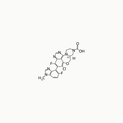 Cn1cnc2c(-c3c(Cl)c4c5c(ncnc5c3F)N3CCN(C(=O)O)C[C@H]3CO4)c(F)ccc21